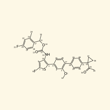 COc1cc(-c2sc(F)cc2NC(=O)OC(C)c2ccc(F)cc2C)ccc1-c1ccc(C2(C(C)=O)CC2)cc1